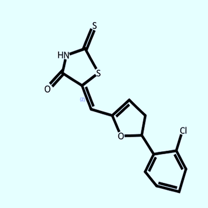 O=C1NC(=S)S/C1=C\C1=CCC(c2ccccc2Cl)O1